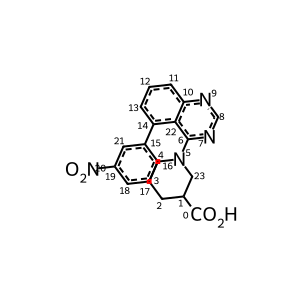 O=C(O)C1CCCN(c2ncnc3cccc(-c4cccc([N+](=O)[O-])c4)c23)C1